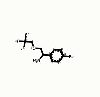 NC(COCC(F)(F)F)c1ccc(F)cc1